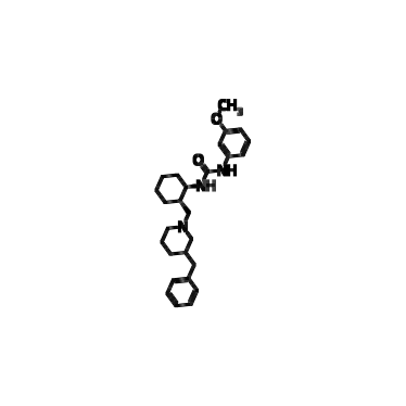 COc1cccc(NC(=O)N[C@@H]2CCCC[C@@H]2CN2CCCC(Cc3ccccc3)C2)c1